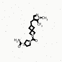 Cn1ncc(CC2CC3(C2)CN(C(=O)N2CC[C@H](C(N)=O)C2)C3)c1C(F)(F)F